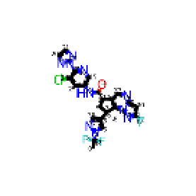 CC(F)(F)n1cc([C@@]2(C)C[C@@H](C(=O)Nc3cnc(-n4nccn4)c(Cl)c3)c3cnc4cc(F)nn4c32)cn1